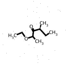 CCOC(C)C(=O)[C@@H](C)CC